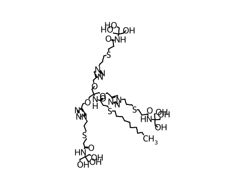 CCCCCCCCCCSCCC(=O)NC(COCc1cn(CCCSCCC(=O)NC(CO)(CO)CO)nn1)(COCc1cn(CCCSCCC(=O)NC(CO)(CO)CO)nn1)COCc1cn(CCCSCCC(=O)NC(CO)(CO)CO)nn1